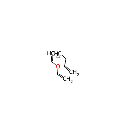 C=CCC(=O)O.C=COC=C